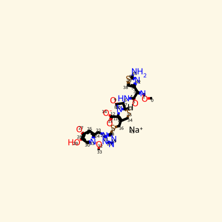 CO/N=C(\C(=O)N[C@@H]1C(=O)N2C(C(=O)[O-])=C(CSc3nnnn3Cc3cc(=O)c(O)cn3OC)CS[C@@H]12)c1csc(N)n1.[Na+]